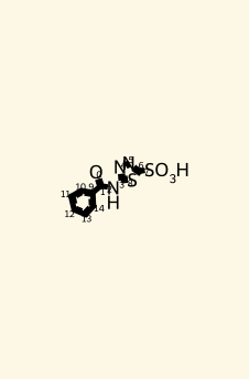 O=C(Nc1nnc(S(=O)(=O)O)s1)c1ccccc1